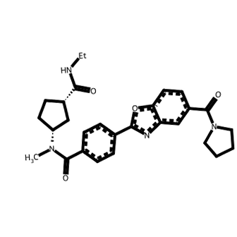 CCNC(=O)[C@H]1CC[C@@H](N(C)C(=O)c2ccc(-c3nc4cc(C(=O)N5CCCC5)ccc4o3)cc2)C1